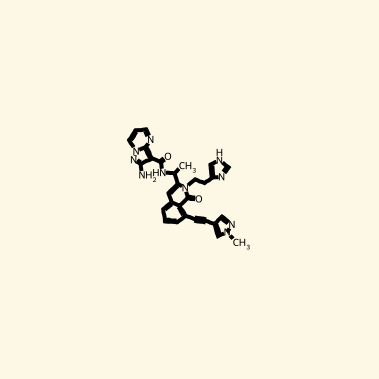 CC(NC(=O)c1c(N)nn2cccnc12)c1cc2cccc(C#Cc3cnn(C)c3)c2c(=O)n1CCc1c[nH]cn1